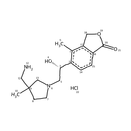 Cc1c([C@@H](O)CN2CCC(C)(CN)C2)ccc2c1COC2=O.Cl